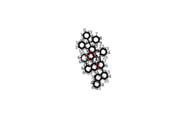 c1ccc(C2(c3ccccc3)c3ccccc3-c3ccc(-c4ccccc4N(c4ccc(-c5cccc6c5ccc5ccccc56)cc4)c4ccccc4-c4cccc5cccc(C6CCCCC6)c45)cc32)cc1